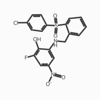 O=[N+]([O-])c1cc(F)c(O)c(NCc2ccccc2S(=O)(=O)c2ccc(Cl)cc2)c1